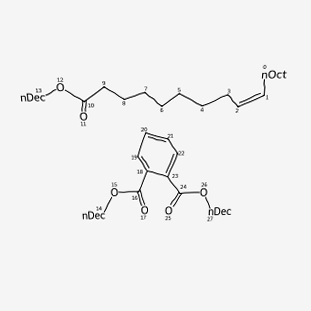 CCCCCCCC/C=C\CCCCCCCC(=O)OCCCCCCCCCC.CCCCCCCCCCOC(=O)c1ccccc1C(=O)OCCCCCCCCCC